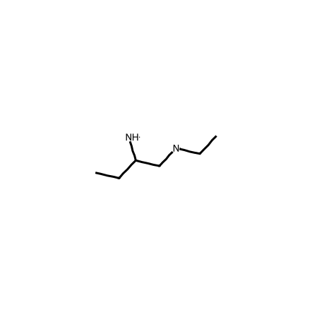 CC[N]CC([NH])CC